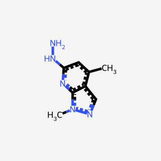 Cc1cc(NN)nc2c1cnn2C